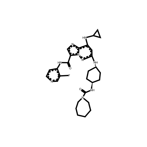 O=C(Nc1ccncc1F)c1cnc2c(NC3CC3)cc(N[C@H]3CC[C@H](NC(=O)N4CCCCCC4)CC3)nn12